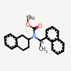 C[C@H](c1cccc2ccccc12)N(C(=O)OC(C)(C)C)C1CCc2ccccc2C1